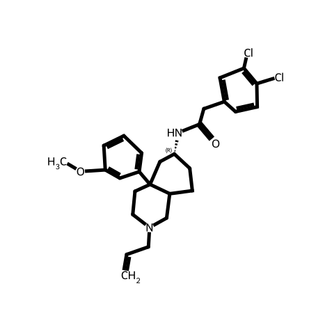 C=CCN1CCC2(c3cccc(OC)c3)C[C@H](NC(=O)Cc3ccc(Cl)c(Cl)c3)CCC2C1